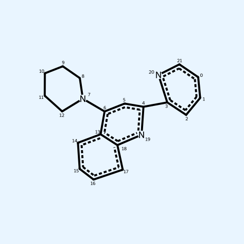 c1ccc(-c2cc(N3CCCCC3)c3ccccc3n2)nc1